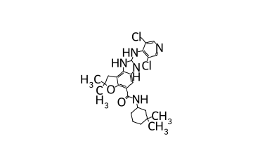 CC1(C)CCCC(NC(=O)c2cc3c(c4c2OC(C)(C)C4)NC(Nc2c(Cl)cncc2Cl)N3)C1